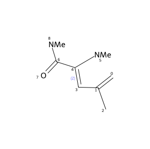 C=C(C)/C=C(\NC)C(=O)NC